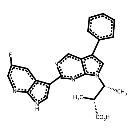 C[C@H]([C@@H](C)C(=O)O)n1cc(-c2ccccc2)c2cnc(-c3c[nH]c4ncc(F)cc34)nc21